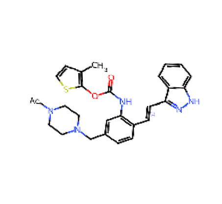 CC(=O)N1CCN(Cc2ccc(/C=C/c3n[nH]c4ccccc34)c(NC(=O)Oc3sccc3C)c2)CC1